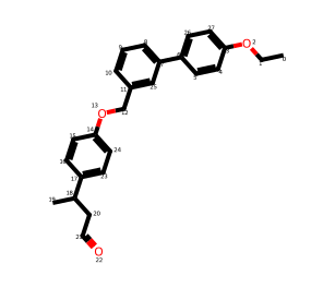 CCOc1ccc(-c2cccc(COc3ccc(C(C)CC=O)cc3)c2)cc1